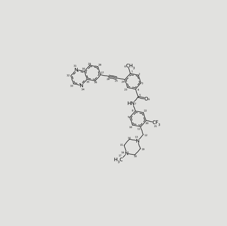 Cc1ccc(C(=O)Nc2ccc(CN3CCN(C)CC3)c(C(F)(F)F)c2)cc1C#Cc1ccc2nccnc2c1